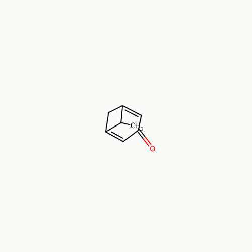 CC1C2=CC(=O)C=C1C2